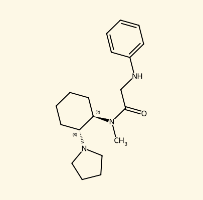 CN(C(=O)CNc1ccccc1)[C@@H]1CCCC[C@H]1N1CCCC1